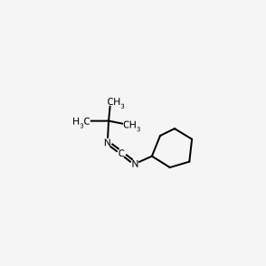 CC(C)(C)N=C=NC1CCCCC1